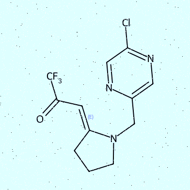 O=C(/C=C1\CCCN1Cc1cnc(Cl)cn1)C(F)(F)F